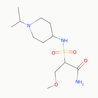 COCC(C(N)=O)S(=O)(=O)NC1CCN(C(C)C)CC1